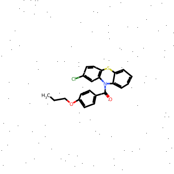 CCCOc1ccc(C(=O)N2c3ccccc3Sc3ccc(Cl)cc32)cc1